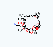 C=C1C[C@@H]2CCC34C[C@H]5OC6[C@@H](OC7CC[C@H](CC(=O)C[C@@H]8[C@@H](OC)[C@@H](C[C@H](O)CN)O[C@H]8C[C@H]8O[C@@H](CC[C@@H]1O2)C[C@@H](C)C8=C)O[C@@H]7[C@@H]6O3)[C@H]5O4